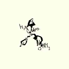 CC(C)N(C(=O)N(CCN1CCN(C)CC1)Cc1ccc(C(N)=O)nc1)c1cscc1N